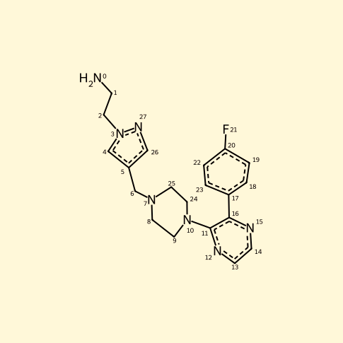 NCCn1cc(CN2CCN(c3nccnc3-c3ccc(F)cc3)CC2)cn1